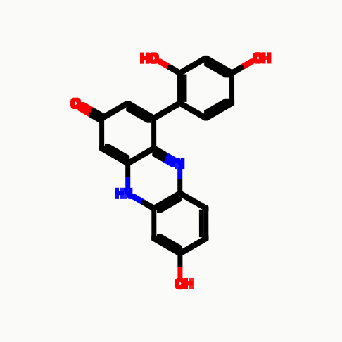 O=c1cc2[nH]c3cc(O)ccc3nc-2c(-c2ccc(O)cc2O)c1